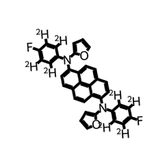 [2H]c1c([2H])c(N(c2ccco2)c2ccc3ccc4c(N(c5ccco5)c5c([2H])c([2H])c(F)c([2H])c5[2H])ccc5ccc2c3c54)c([2H])c([2H])c1F